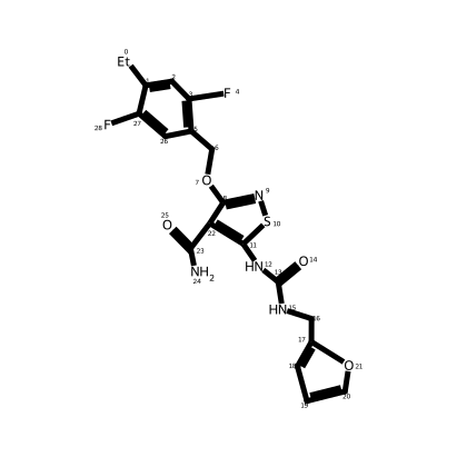 CCc1cc(F)c(COc2nsc(NC(=O)NCc3ccco3)c2C(N)=O)cc1F